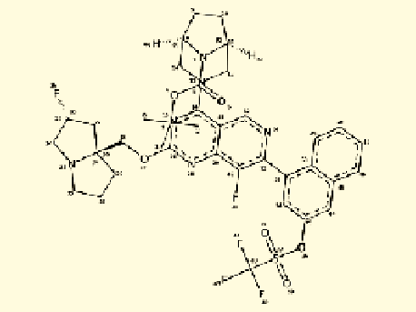 CC(C)(C)OC(=O)N1[C@@H]2CC[C@H]1CN(c1nc(OC[C@@]34CCCN3C[C@H](F)C4)nc3c(F)c(-c4cc(OS(=O)(=O)C(F)(F)F)cc5ccccc45)ncc13)C2